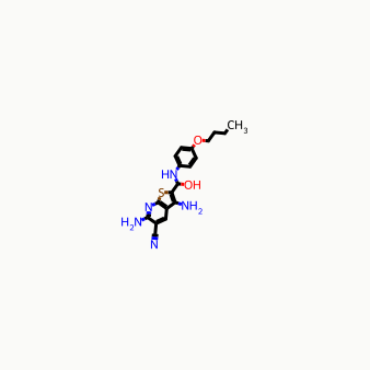 CCCCOc1ccc(NC(O)c2sc3nc(N)c(C#N)cc3c2N)cc1